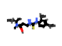 COc1ccc(NC(=S)NCCC(=O)N(C)[C@H](C(=O)O)C(C)C)c(OC)c1